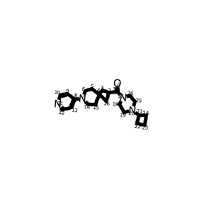 O=C(C1CC2(CCN(c3ccncc3)CC2)C1)N1CCN(C2CCC2)CC1